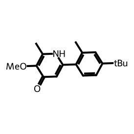 COc1c(C)[nH]c(-c2ccc(C(C)(C)C)cc2C)cc1=O